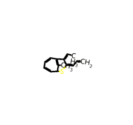 C=C/C=C1/SC2C=CC=CC(=C2C)/C1=C/C